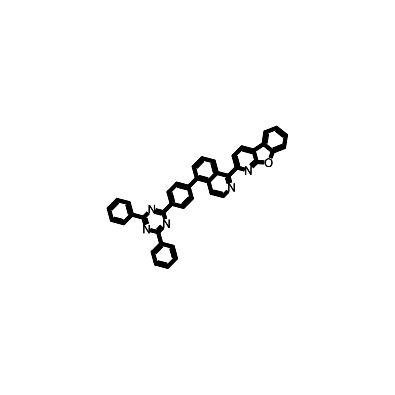 c1ccc(-c2nc(-c3ccccc3)nc(-c3ccc(-c4cccc5c(-c6ccc7c(n6)oc6ccccc67)nccc45)cc3)n2)cc1